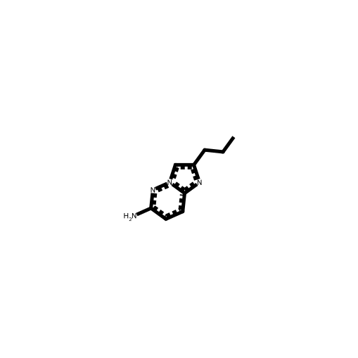 CCCc1cn2nc(N)ccc2n1